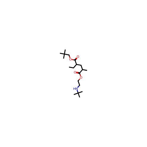 CCC(CC(C)C(=O)OCCNC(C)(C)C)C(=O)OCC(C)(C)C